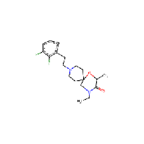 CCN1CC2(CCN(CCc3cccc(F)c3F)CC2)OC(C)C1=O